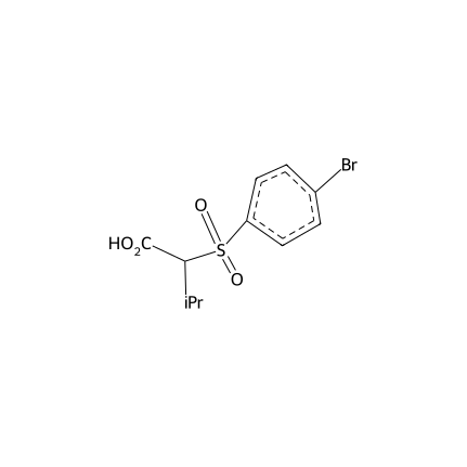 CC(C)C(C(=O)O)S(=O)(=O)c1ccc(Br)cc1